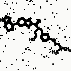 CN(C)CCOc1cccc(CN(CCO)C(=O)c2nc3ccc(-c4ncnc5[nH]ccc45)cc3s2)c1